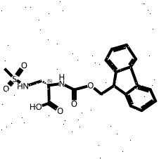 CS(=O)(=O)NC[C@H](NC(=O)OCC1c2ccccc2-c2ccccc21)C(=O)O